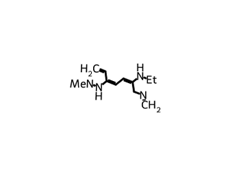 C=C/C(=C\C=C(/CN=C)NCC)NNC